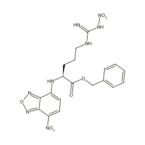 N=C(NCCC[C@H](Nc1ccc([N+](=O)[O-])c2nonc12)C(=O)OCc1ccccc1)N[N+](=O)[O-]